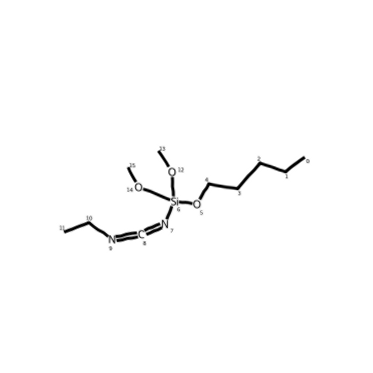 CCCCCO[Si](N=C=NCC)(OC)OC